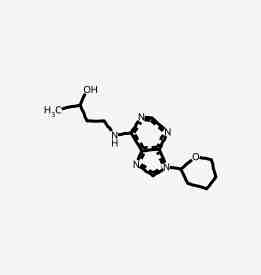 CC(O)CCNc1ncnc2c1ncn2C1CCCCO1